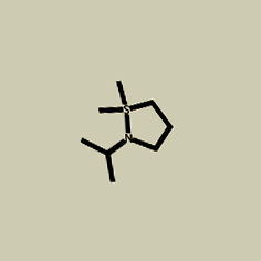 CC(C)N1CCCS1(C)C